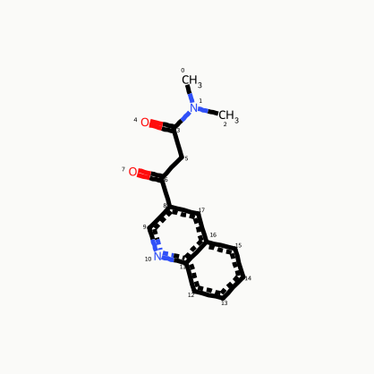 CN(C)C(=O)CC(=O)c1cnc2ccccc2c1